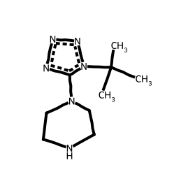 CC(C)(C)n1nnnc1N1CCNCC1